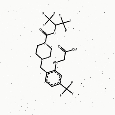 O=C(O)CNc1cc(C(F)(F)F)ccc1CN1CCN(C(=O)OC(C(F)(F)F)C(F)(F)F)CC1